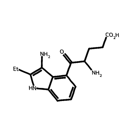 CCc1[nH]c2cccc(C(=O)C(N)CCC(=O)O)c2c1N